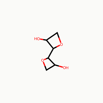 OC1COC1C1OCC1O